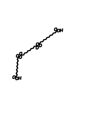 O=C(O)CCCCCCCCCCC(=O)OC(=O)CCCCCCCCC(=O)OC(=O)CCCCCCCCCCC(=O)O